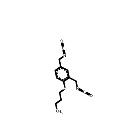 CCCCOc1ccc(CN=C=O)cc1CN=C=O